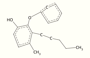 CCCCCc1c(C)ccc(O)c1Oc1ccccc1